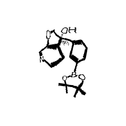 CC1(C)OB(c2cccc([C@]3(O)COc4cnccc43)c2)OC1(C)C